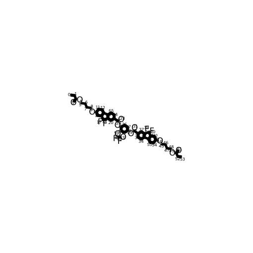 C=CC(=O)OCCCCOc1ccc2c(c1)C(F)(F)c1cc(C(=O)Oc3ccc(OC(=O)c4ccc5c(c4)C(F)(F)c4cc(OCCCCOC(=O)C=C)ccc4-5)c4c3OC(F)(F)O4)ccc1-2